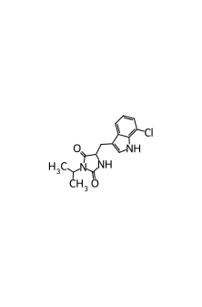 CC(C)N1C(=O)NC(Cc2c[nH]c3c(Cl)cccc23)C1=O